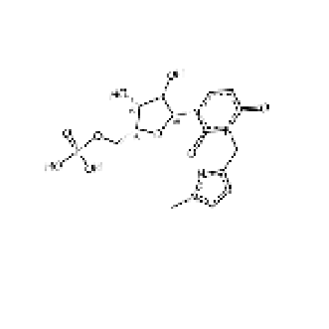 Cn1ccc(Cn2c(=O)ccn([C@@H]3O[C@H](COP(=O)(O)O)[C@H](O)C3O)c2=O)n1